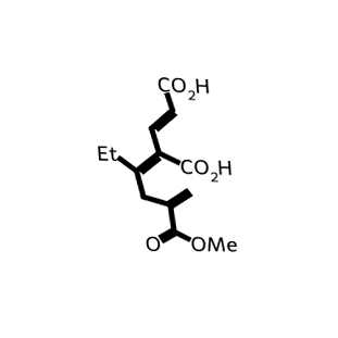 C=C(CC(CC)=C(C=CC(=O)O)C(=O)O)C(=O)OC